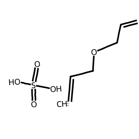 C=CCOCC=C.O=S(=O)(O)O.[CH]